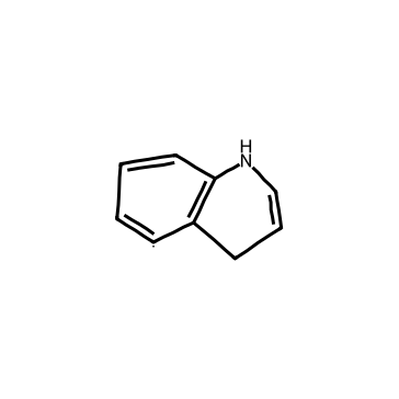 [c]1cccc2c1CC=CN2